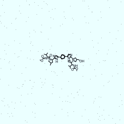 COC(=O)NC(C(=O)N1CC(C)CC1c1ncc(-c2ccc(-c3cnc(C4CC(CO)CN4C(=O)C(NC(=O)OC)C(C)C)[nH]3)cc2)[nH]1)C(C)C